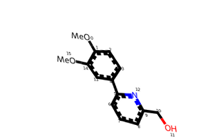 COc1ccc(-c2cccc(CO)n2)cc1OC